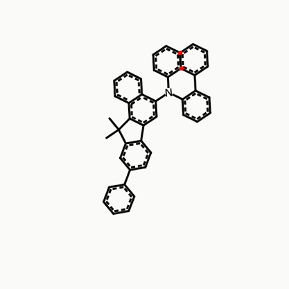 CC1(C)c2cc(-c3ccccc3)ccc2-c2cc(N(c3ccccc3)c3ccccc3-c3ccccc3)c3ccccc3c21